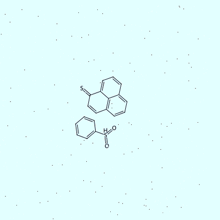 O=[SH](=O)c1ccccc1.S=C1C=Cc2cccc3cccc1c23